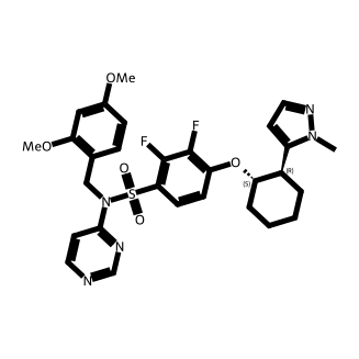 COc1ccc(CN(c2ccncn2)S(=O)(=O)c2ccc(O[C@H]3CCCC[C@@H]3c3ccnn3C)c(F)c2F)c(OC)c1